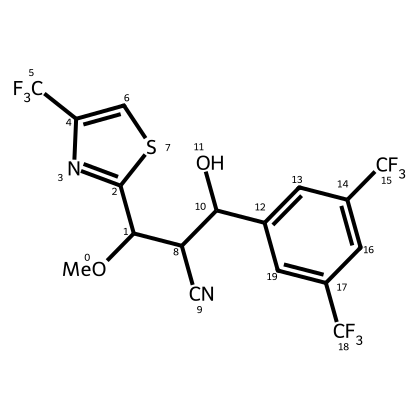 COC(c1nc(C(F)(F)F)cs1)C(C#N)C(O)c1cc(C(F)(F)F)cc(C(F)(F)F)c1